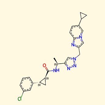 C[C@H](NC(=O)[C@H]1C[C@@H]1c1cccc(Cl)c1)c1cn(Cc2cn3cc(C4CC4)ccc3n2)nn1